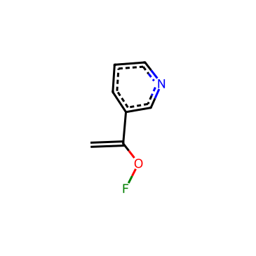 C=C(OF)c1cccnc1